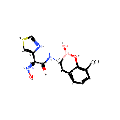 O=C(N[C@H]1Cc2cccc(C(=O)O)c2OB1O)/C(=N\O)c1cscn1